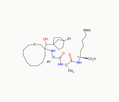 CCC12CCC(C(O)C3(N[C@H](C(=O)N[C@@H](C)C(=O)N[C@@H](CCCCNC)C(=O)O)C(C)C)CCCCCCCCCC3)(CC1)C2